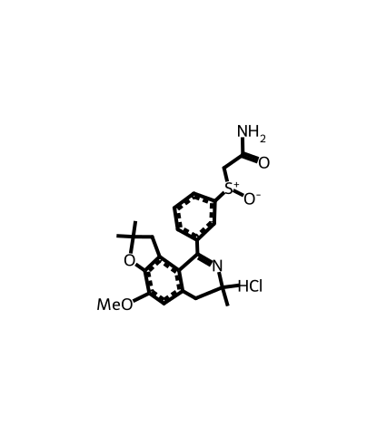 COc1cc2c(c3c1OC(C)(C)C3)C(c1cccc([S+]([O-])CC(N)=O)c1)=NC(C)(C)C2.Cl